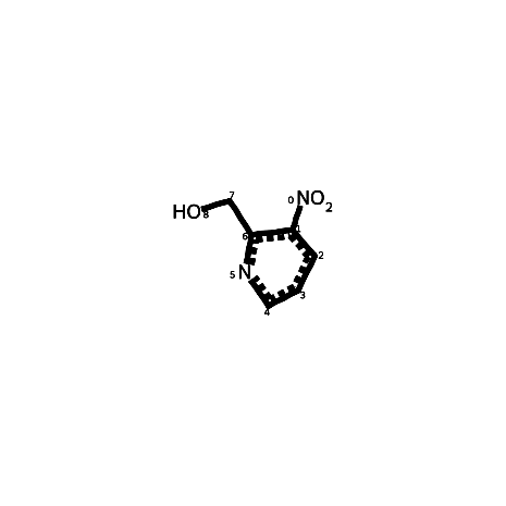 O=[N+]([O-])c1cccnc1CO